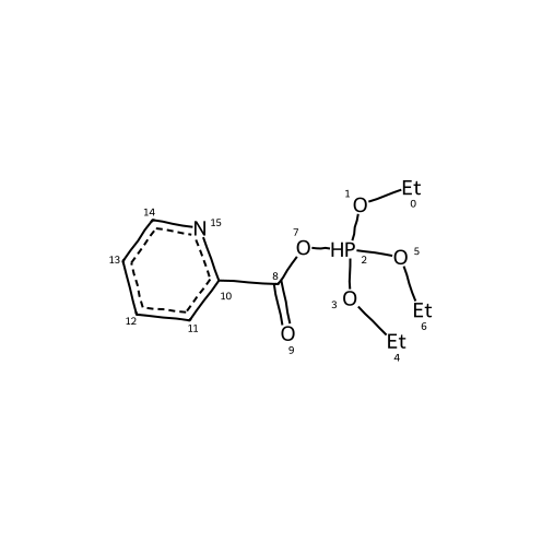 CCO[PH](OCC)(OCC)OC(=O)c1ccccn1